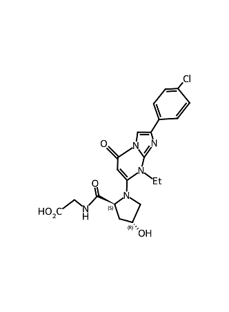 CCn1c(N2C[C@H](O)C[C@H]2C(=O)NCC(=O)O)cc(=O)n2cc(-c3ccc(Cl)cc3)nc12